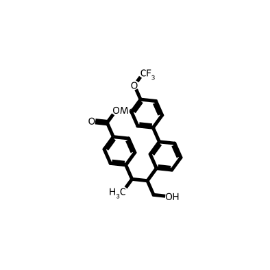 COC(=O)c1ccc(C(C)C(CO)c2cccc(-c3ccc(OC(F)(F)F)cc3)c2)cc1